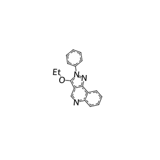 CCOc1c2cnc3ccccc3c2nn1-c1ccccc1